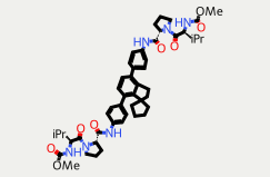 COC(=O)N[C@H](C(=O)N1CCC[C@H]1C(=O)Nc1ccc(-c2ccc(-c3ccc(NC(=O)[C@@H]4CCCN4C(=O)[C@@H](NC(=O)OC)C(C)C)cc3)c3c2CCC32CCCC2)cc1)C(C)C